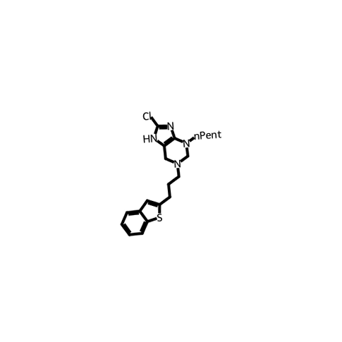 CCCCCN1CN(CCCc2cc3ccccc3s2)Cc2[nH]c(Cl)nc21